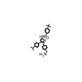 CC(C)c1ccc(-c2cc(NC(=O)c3ccc(C(C)(C)C)cc3)nn2-c2ccc(CN)cc2)cc1